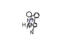 Cn1c(C#N)ccc1N1/C(=N\C#N)C2(CCCCC2)c2ccccc21